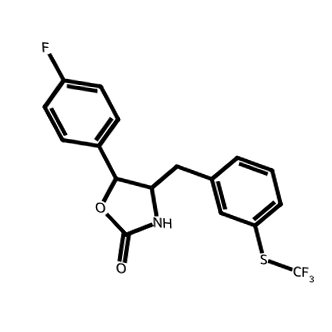 O=C1NC(Cc2cccc(SC(F)(F)F)c2)C(c2ccc(F)cc2)O1